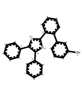 Oc1cccc(-c2ccccc2-c2nc(-c3ccccc3)c(-c3ccccc3)o2)c1